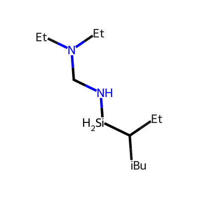 CCC(C)C(CC)[SiH2]NCN(CC)CC